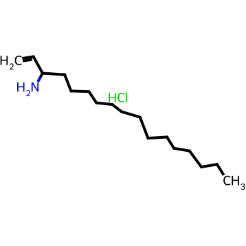 C=CC(N)CCCCCCCCCCCCCC.Cl